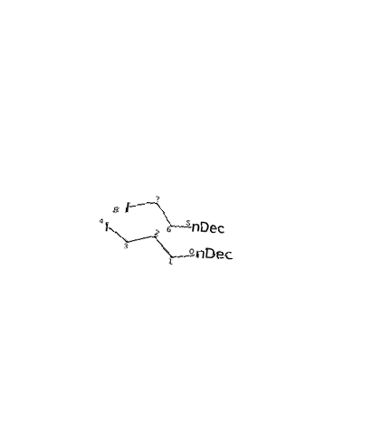 CCCCCCCCCCCCCI.CCCCCCCCCCCCI